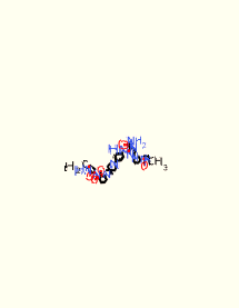 C=C1CCC(N2C(=O)c3cccc(N4CC5(CCN(c6ccc(Nc7nc(N8CCC[C@H](N9CCN(C)C9=O)C8)cnc7C(N)=O)cc6)CC5)C4)c3C2=O)C(=O)N1